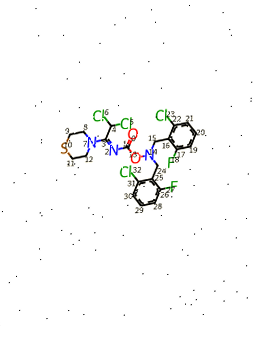 O=C(/N=C(\C(Cl)Cl)N1CCSCC1)ON(Cc1c(F)cccc1Cl)Cc1c(F)cccc1Cl